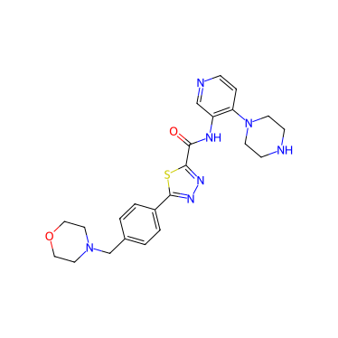 O=C(Nc1cnccc1N1CCNCC1)c1nnc(-c2ccc(CN3CCOCC3)cc2)s1